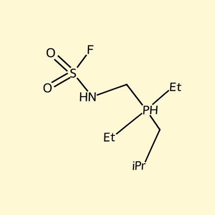 CC[PH](CC)(CNS(=O)(=O)F)CC(C)C